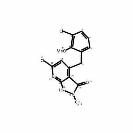 COc1c(Cl)cccc1Cc1cc(Cl)nc2[nH]n(C)c(=O)c12